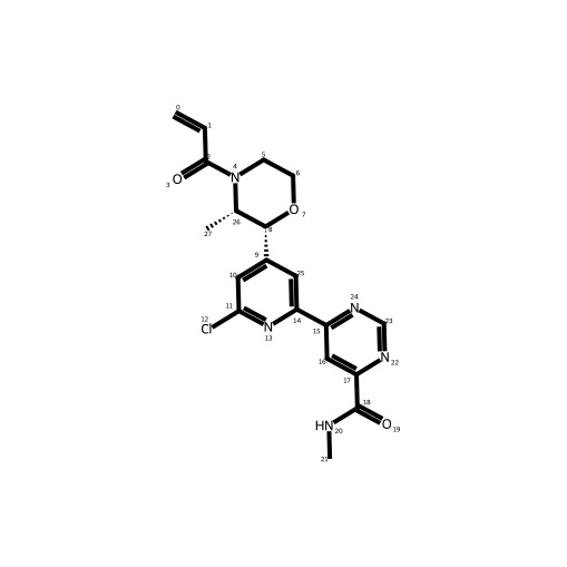 C=CC(=O)N1CCO[C@H](c2cc(Cl)nc(-c3cc(C(=O)NC)ncn3)c2)[C@@H]1C